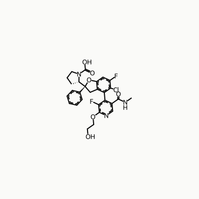 CNC(=O)c1cnc(OCCO)c(F)c1-c1c(Cl)c(F)cc2c1C[C@](c1ccccc1)([C@@H]1CCCN1C(=O)O)O2